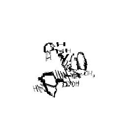 Cc1cccc(C)c1S(=O)(=O)NC(CCCCNC1NC=CCN1)(NC(=O)c1cccc2[nH]ncc12)C(=O)O